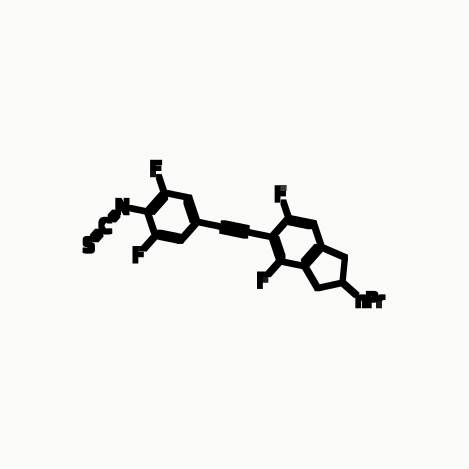 CCCC1Cc2cc(F)c(C#Cc3cc(F)c(N=C=S)c(F)c3)c(F)c2C1